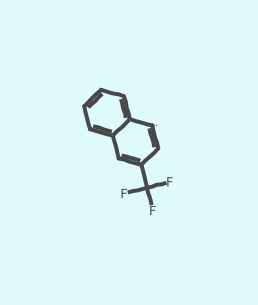 FC(F)(F)c1c[c]c2ccccc2c1